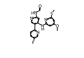 COc1cc(Nc2cc(NC=O)ncc2-c2ccc(F)cn2)nc(SC)c1